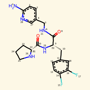 Nc1ccc(CNC(=O)[C@H](Cc2ccc(F)c(F)c2)NC(=O)[C@H]2CCCN2)cn1